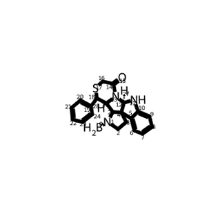 BN1CCC23c4ccccc4N[C@@H]2N2C(=O)CSC(c4ccccc4)[C@@H]2C13